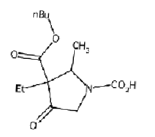 CCCCOC(=O)C1(CC)C(=O)CN(C(=O)O)C1C